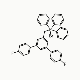 Fc1ccc(-c2cc(CP(Br)(c3ccccc3)(c3ccccc3)c3ccccc3)cc(-c3ccc(F)cc3)c2)cc1